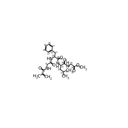 C=C(C)C(=O)NCC(=O)NC(Cc1ccccc1)C(=O)NC(CC(C)C)C(=O)NCC(=O)OC